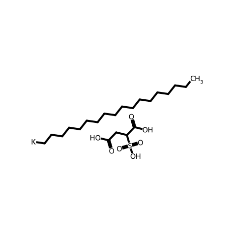 CCCCCCCCCCCCCCCCC[CH2][K].O=C(O)CC(C(=O)O)S(=O)(=O)O